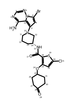 Nc1ncnn2c(Br)cc(N3CCC[C@@H](NC(=O)c4sc(Cl)cc4OC4CCC(=O)CC4)C3)c12